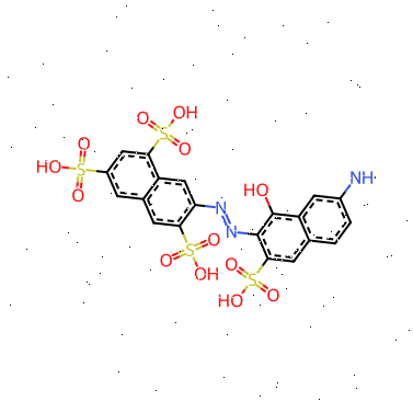 [NH]c1ccc2cc(S(=O)(=O)O)c(N=Nc3cc4c(S(=O)(=O)O)cc(S(=O)(=O)O)cc4cc3S(=O)(=O)O)c(O)c2c1